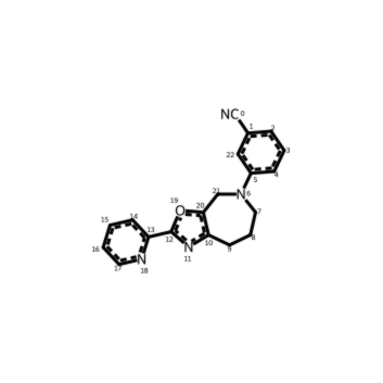 N#Cc1cccc(N2CCCc3nc(-c4ccccn4)oc3C2)c1